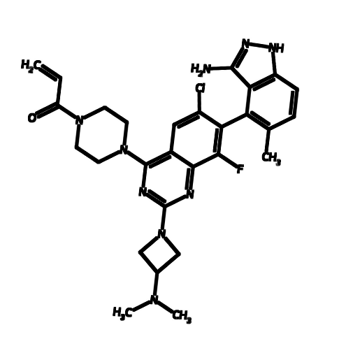 C=CC(=O)N1CCN(c2nc(N3CC(N(C)C)C3)nc3c(F)c(-c4c(C)ccc5[nH]nc(N)c45)c(Cl)cc23)CC1